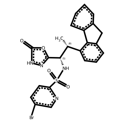 C[C@H](c1cccc2c1-c1ccccc1C2)[C@H](NS(=O)(=O)c1ccc(Br)cn1)c1n[nH]c(=O)o1